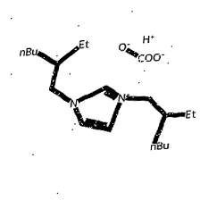 CCCCC(CC)Cn1cc[n+](CC(CC)CCCC)c1.O=C([O-])[O-].[H+]